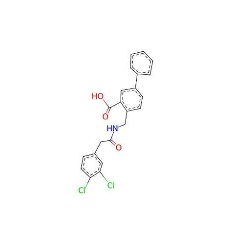 O=C(Cc1ccc(Cl)c(Cl)c1)NCc1ccc(-c2ccccc2)cc1C(=O)O